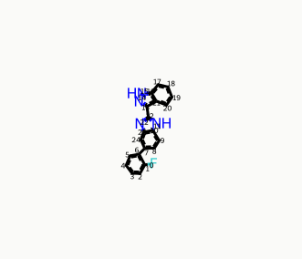 Fc1ccccc1-c1ccc2[nH]c(-c3n[nH]c4ccccc34)nc2c1